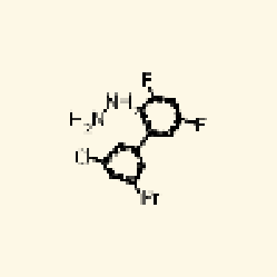 CC(C)c1cc(Cl)cc(-c2cc(F)cc(F)c2)c1.NN